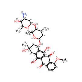 COc1cccc2c1C(=O)c1c(O)c3c(c(O)c1C2=O)C[C@](C)(O)C[C@@H]3OC1CC(C)C(OC2CC(N)C(O)C(C)O2)C(C)O1